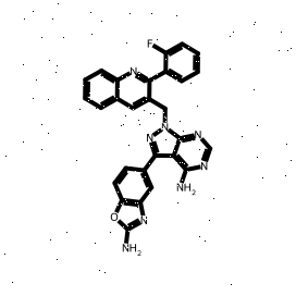 Nc1nc2cc(-c3nn(Cc4cc5ccccc5nc4-c4ccccc4F)c4ncnc(N)c34)ccc2o1